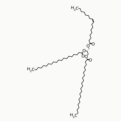 CCCCCCC/C=C\CCCCCCCC(=O)OC[C@H](COC(=O)CCCCCCCCCCCCCCCCCCCCC)OC(=O)CCCCCCCCCCCCCCCCCCC